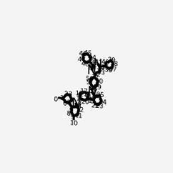 Cc1ccc2c(c1)c1cc(C)ccc1n2-c1ccc2c(c1)c1ccccc1n2-c1ccc(-c2cc(-c3ccccc3)nc(-c3ccccc3)n2)cc1